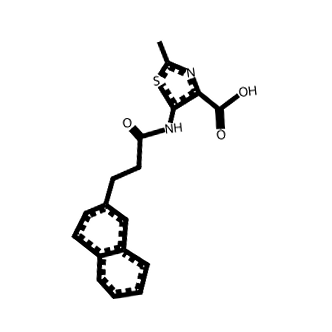 Cc1nc(C(=O)O)c(NC(=O)CCc2ccc3ccccc3c2)s1